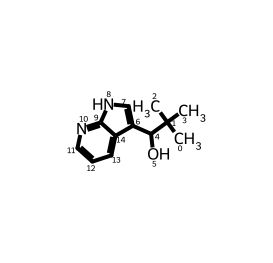 CC(C)(C)C(O)c1c[nH]c2ncccc12